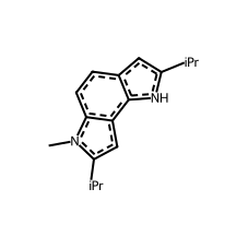 CC(C)c1cc2ccc3c(cc(C(C)C)n3C)c2[nH]1